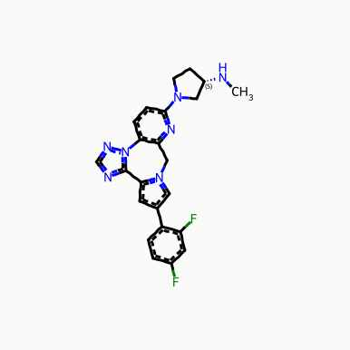 CN[C@H]1CCN(c2ccc3c(n2)Cn2cc(-c4ccc(F)cc4F)cc2-c2ncnn2-3)C1